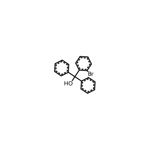 OC(c1ccccc1)(c1ccccc1)c1ccccc1Br